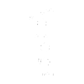 CCCCCCCCOc1ccc(C(=O)Oc2ccc(-c3ncc(CCCCCCCC)cn3)cc2)cc1Br